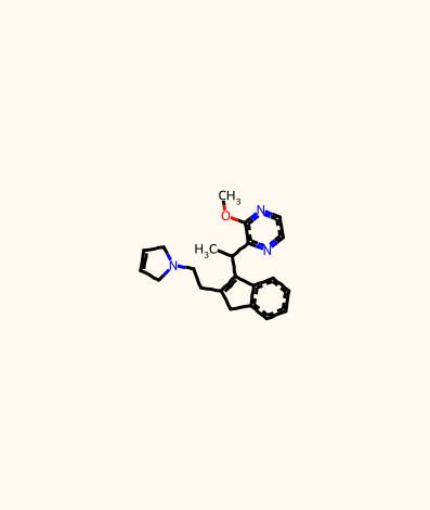 COc1nccnc1C(C)C1=C(CCN2CC=CC2)Cc2ccccc21